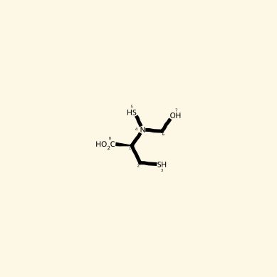 O=C(O)[C@H](CS)N(S)CO